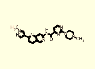 CN1CCN(c2nccc(C(=O)Nc3cc4nc(-c5cnn(C)c5)ccc4cn3)n2)CC1